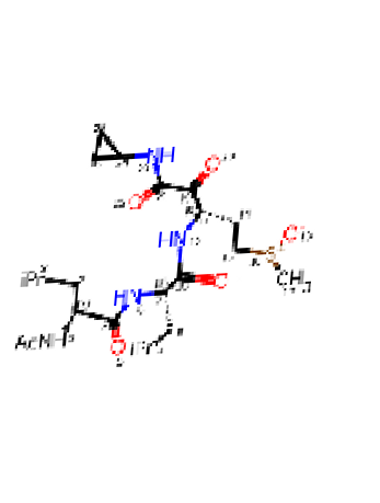 CC(=O)N[C@@H](CC(C)C)C(=O)N[C@@H](CC(C)C)C(=O)N[C@@H](CC[S+](C)[O-])C(=O)C(=O)NC1CC1